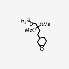 COC(CCC1CCC2OC2C1)(CO[SiH3])OC